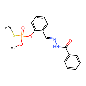 CCCSP(=O)(OCC)Oc1ccccc1C=NNC(=O)c1ccccc1